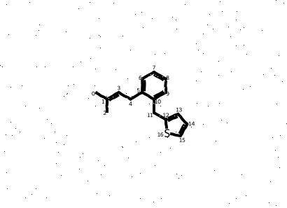 CC(C)=CCc1ccccc1Cc1cccs1